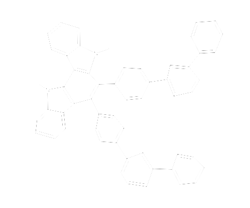 Cn1c2ccccc2c2c1c(-c1ccc(-c3cccc(-c4ccccc4)c3)cc1)c(-c1ccc(-c3cccc(-c4ccccc4)c3)cc1)c1c3ccccc3n(C)c12